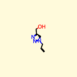 C=CCn1cc(CO)nn1